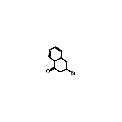 O=C1CC(Br)CC2C=CC=CC12